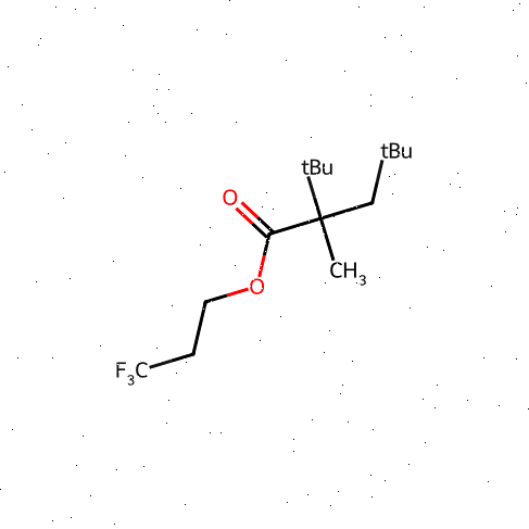 CC(C)(C)CC(C)(C(=O)OCCC(F)(F)F)C(C)(C)C